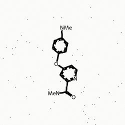 CNC(=O)c1cc(Oc2ccc(NC)cc2)ccn1